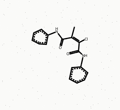 C/C(C(=O)Nc1ccccc1)=C(\Cl)C(=O)Nc1ccccc1